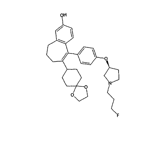 Oc1ccc2c(c1)CCCC(C1CCC3(CC1)OCCO3)=C2c1ccc(O[C@H]2CCN(CCCF)C2)cc1